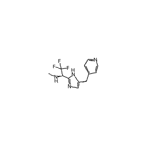 CN[C@H](c1ncc(Cc2ccncc2)[nH]1)C(F)(F)F